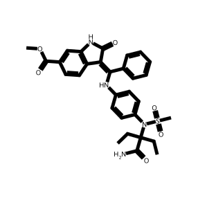 CCC(CC)(C(N)=O)N(c1ccc(N/C(=C2/C(=O)Nc3cc(C(=O)OC)ccc32)c2ccccc2)cc1)S(C)(=O)=O